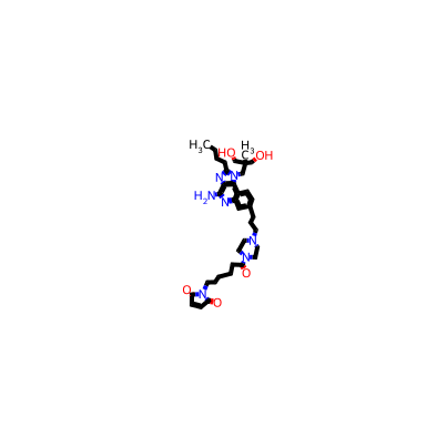 CCCCc1nc2c(N)nc3cc(CCCN4CCN(C(=O)CCCCCN5C(=O)C=CC5=O)CC4)ccc3c2n1CC(C)(CO)CO